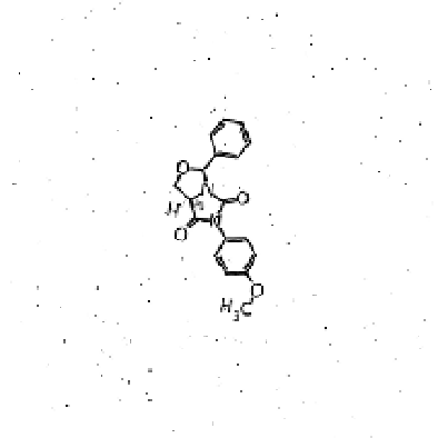 COc1ccc(N2C(=O)[C@H]3COC(c4ccccc4)N3C2=O)cc1